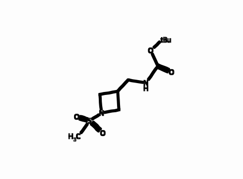 CC(C)(C)OC(=O)NCC1CN(S(C)(=O)=O)C1